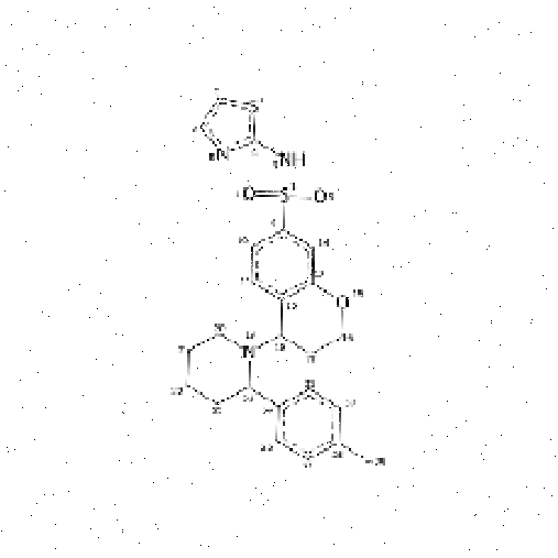 O=S(=O)(Nc1nccs1)c1ccc2c(c1)OCCC2N1CCCCC1c1ccc(F)cc1